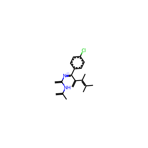 C=C(C)NC(=C)/N=C(\C(=C)C(C)=C(C)C)c1ccc(Cl)cc1